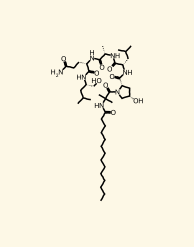 CCCCCCCCCCCCCC(=O)NC(C)(C)C(=O)N1C[C@@H](O)C[C@H]1C(=O)N[C@@H](CC(C)C)C(=O)N[C@@H](C)C(=O)N[C@@H](CCC(N)=O)C(=O)N[C@H](CO)CC(C)C